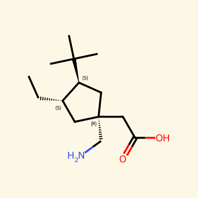 CC[C@H]1C[C@](CN)(CC(=O)O)C[C@@H]1C(C)(C)C